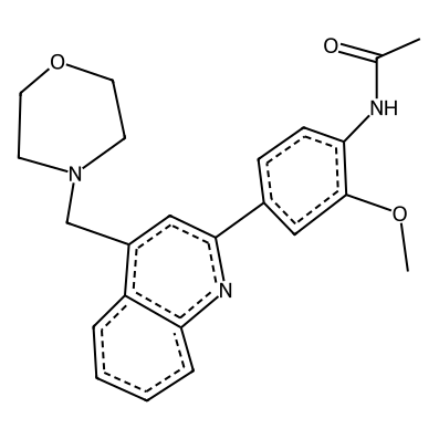 COc1cc(-c2cc(CN3CCOCC3)c3ccccc3n2)ccc1NC(C)=O